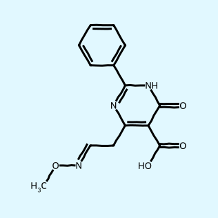 CON=CCc1nc(-c2ccccc2)[nH]c(=O)c1C(=O)O